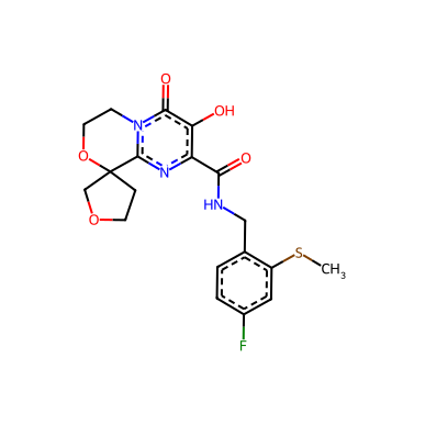 CSc1cc(F)ccc1CNC(=O)c1nc2n(c(=O)c1O)CCOC21CCOC1